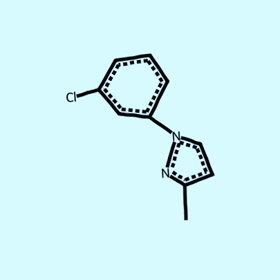 Cc1ccn(-c2cccc(Cl)c2)n1